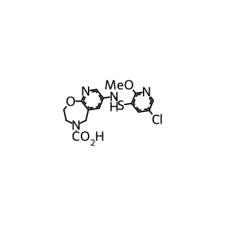 COc1ncc(Cl)cc1SNc1cnc2c(c1)CN(C(=O)O)CCO2